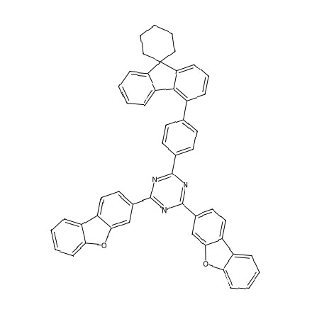 c1ccc2c(c1)-c1c(-c3ccc(-c4nc(-c5ccc6c(c5)oc5ccccc56)nc(-c5ccc6c(c5)oc5ccccc56)n4)cc3)cccc1C21CCCCC1